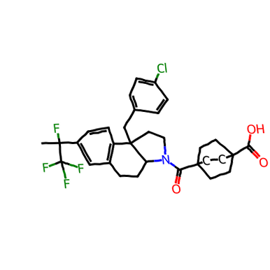 CC(F)(c1ccc2c(c1)CCC1N(C(=O)C34CCC(C(=O)O)(CC3)CC4)CCC21Cc1ccc(Cl)cc1)C(F)(F)F